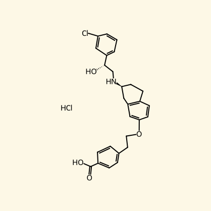 Cl.O=C(O)c1ccc(CCOc2ccc3c(c2)C[C@@H](NC[C@H](O)c2cccc(Cl)c2)CC3)cc1